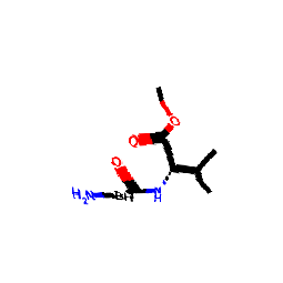 COC(=O)[C@@H](NC(=O)BN)C(C)C